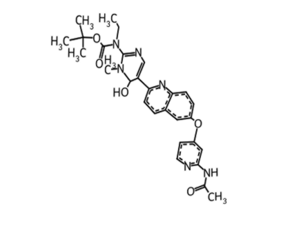 CCN(C(=O)OC(C)(C)C)C1=NC=C(c2ccc3cc(Oc4ccnc(NC(C)=O)c4)ccc3n2)C(O)N1C